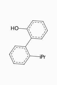 CC(C)c1ccccc1-c1ccccc1O